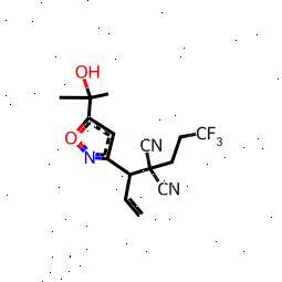 C=CC(c1cc(C(C)(C)O)on1)C(C#N)(C#N)CCC(F)(F)F